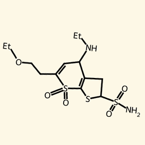 CCNC1C=C(CCOCC)S(=O)(=O)C2=C1CC(S(N)(=O)=O)S2